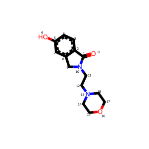 O=C1c2ccc(O)cc2CN1CCN1CCOCC1